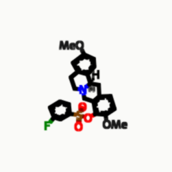 COc1ccc2c(c1)CCN1Cc3c(ccc(OC)c3OS(=O)(=O)c3cccc(F)c3)C[C@H]21